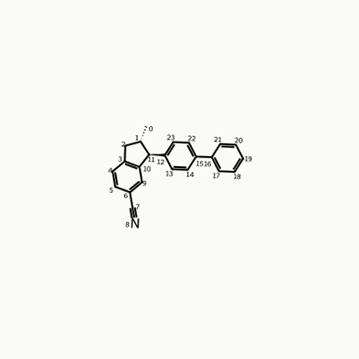 C[C@H]1Cc2ccc(C#N)cc2[C@@H]1c1ccc(-c2ccccc2)cc1